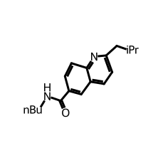 CCCCNC(=O)c1ccc2nc(CC(C)C)ccc2c1